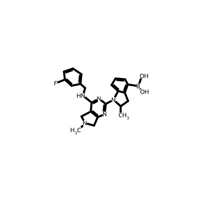 CC1Cc2c(B(O)O)cccc2N1c1nc2c(c(NCc3cccc(F)c3)n1)CN(C)C2